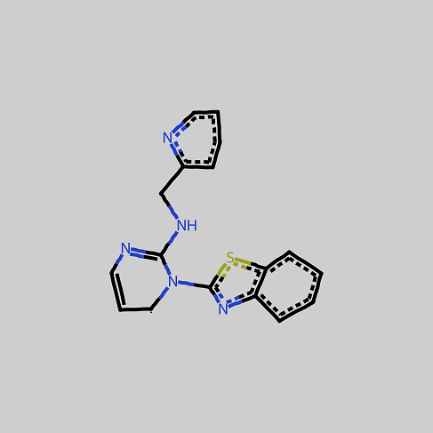 [CH]1C=CN=C(NCc2ccccn2)N1c1nc2ccccc2s1